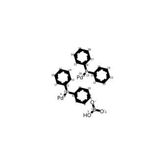 [O-]B([O-])O.[Pd+][P](c1ccccc1)c1ccccc1.[Pd+][P](c1ccccc1)c1ccccc1